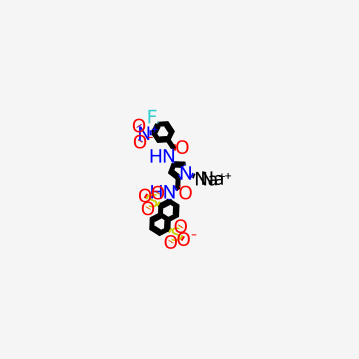 Cn1cc(NC(=O)c2ccc(F)c([N+](=O)[O-])c2)cc1C(=O)Nc1ccc2c(S(=O)(=O)[O-])cccc2c1S(=O)(=O)[O-].[Na+].[Na+]